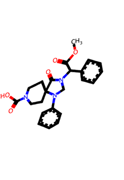 COC(=O)C(c1ccccc1)N1CN(c2ccccc2)C2(CCN(C(=O)O)CC2)C1=O